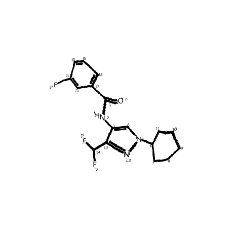 O=C(Nc1cn(C2CCCCC2)nc1C(F)F)c1cccc(F)c1